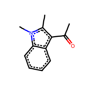 CC(=O)c1c(C)n(C)c2ccccc12